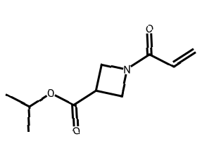 C=CC(=O)N1CC(C(=O)OC(C)C)C1